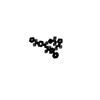 O=C(NCC(=O)N1CCN(C(=O)OC2CCCC2)CC1)c1cc(OCC(=O)N2CCC[C@H]2C(=O)NC2CCC2)n(-c2ccccc2)n1